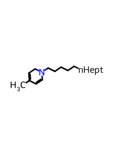 CCCCCCCCCCCCN1C=CC(C)=CC1